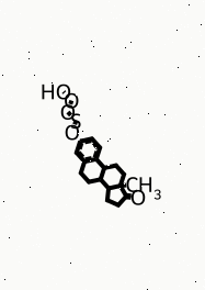 CC12CCC3c4ccc(OSOOO)cc4CCC3C1CCC2=O